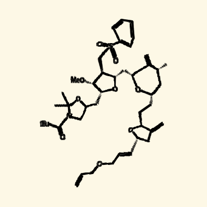 C=CCOCC=C[C@H]1CC(=C)[C@H](CC[C@H]2C[C@@H](C)C(=C)[C@@H](C[C@@H]3O[C@H](CC4CN(C(=O)C(C)(C)C)C(C)(C)O4)[C@H](OC)[C@H]3CS(=O)(=O)c3ccccc3)O2)O1